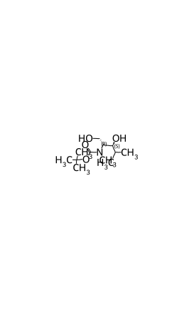 CC(C)[C@H](O)[C@@H](CO)N(C)C(=O)OC(C)(C)C